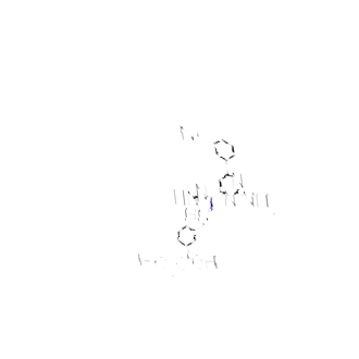 N#Cc1cccc(-c2cc(/C(=C/NCc3cccc(C(O)C(=O)O)c3)N=N)nc(N)n2)c1